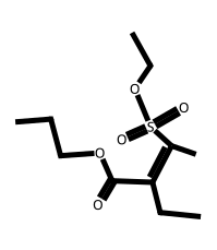 CCCOC(=O)C(CC)=C(C)S(=O)(=O)OCC